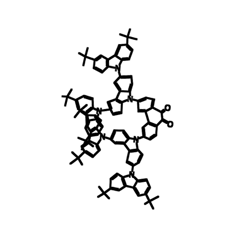 CC(C)(C)c1ccc2c(c1)c1cc(C(C)(C)C)ccc1n2-c1ccc2c(c1)c1cc(-n3c4ccc(C(C)(C)C)cc4c4cc(C(C)(C)C)ccc43)ccc1n2-c1ccc2c(c1)-c1cc(-n3c4ccc(-n5c6ccc(C(C)(C)C)cc6c6cc(C(C)(C)C)ccc65)cc4c4cc(-n5c6ccc(C(C)(C)C)cc6c6cc(C(C)(C)C)ccc65)ccc43)ccc1C(=O)C2=O